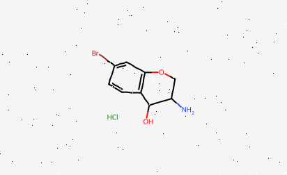 Cl.NC1COc2cc(Br)ccc2C1O